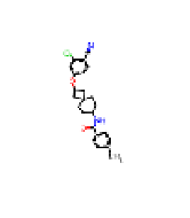 Cc1ccc(C(=O)NC2CCC3(CC2)CC(Oc2ccc(C#N)c(Cl)c2)C3)cc1